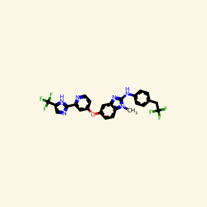 Cn1c(Nc2ccc(CC(F)(F)F)cc2)nc2cc(Oc3ccnc(-c4ncc(C(F)(F)F)[nH]4)c3)ccc21